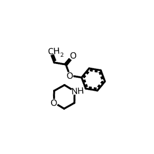 C1COCCN1.C=CC(=O)Oc1ccccc1